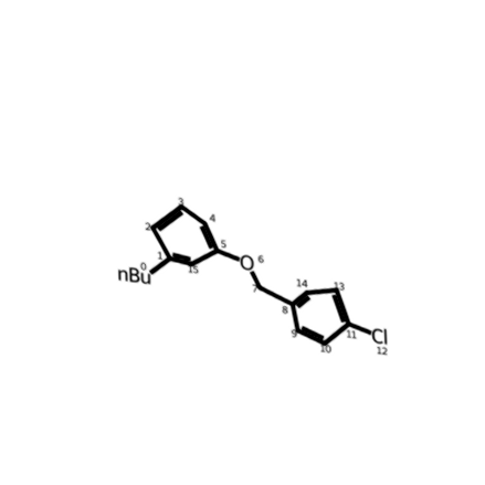 CCCCc1cccc(OCc2ccc(Cl)cc2)c1